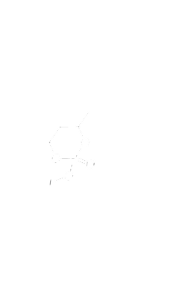 CCOP1(=O)OCCC(C)O1